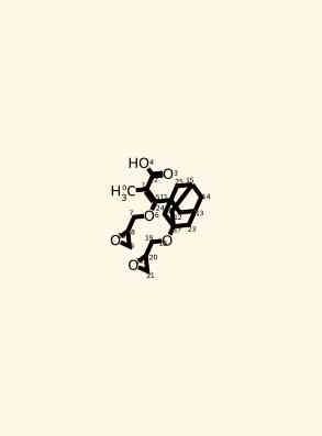 CC(C(=O)O)=C(OCC1CO1)C12CC3CC(CC(OCC4CO4)(C3)C1)C2